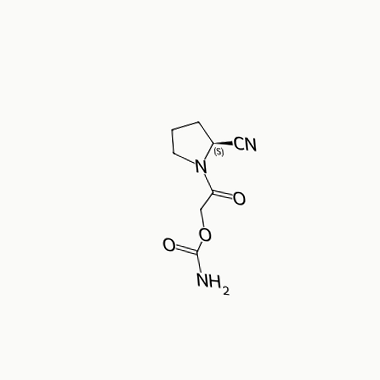 N#C[C@@H]1CCCN1C(=O)COC(N)=O